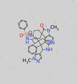 CN1C(=O)C2(CCNCC2)c2c1cnc1c2C(c2ccccc2)(C2(CC#N)CC(NS(=O)(=O)c3ccccc3)C2)C(c2cnn(C)c2)N1